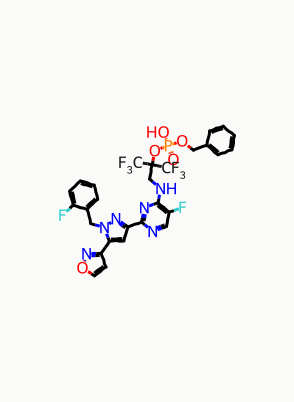 O=P(O)(OCc1ccccc1)OC(CNc1nc(-c2cc(-c3ccon3)n(Cc3ccccc3F)n2)ncc1F)(C(F)(F)F)C(F)(F)F